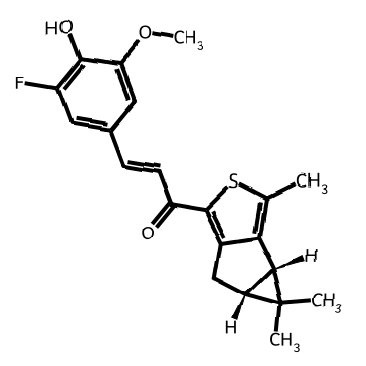 COc1cc(/C=C/C(=O)c2sc(C)c3c2C[C@@H]2[C@H]3C2(C)C)cc(F)c1O